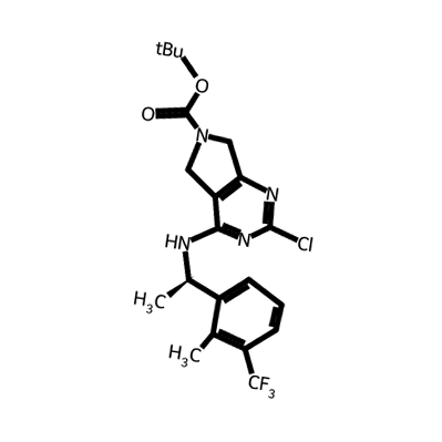 Cc1c([C@@H](C)Nc2nc(Cl)nc3c2CN(C(=O)OC(C)(C)C)C3)cccc1C(F)(F)F